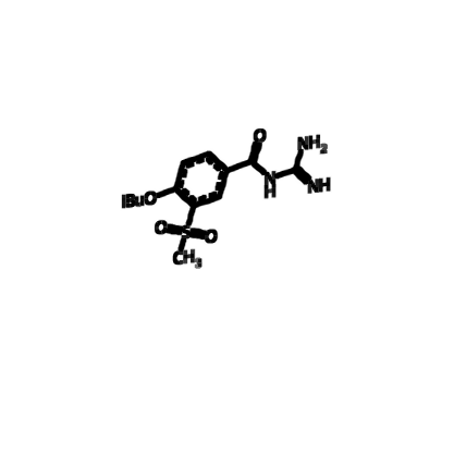 CC(C)COc1ccc(C(=O)NC(=N)N)cc1S(C)(=O)=O